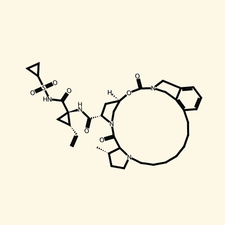 C=C[C@@H]1C[C@]1(NC(=O)[C@@H]1C[C@@H]2CN1C(=O)C1[C@@H](C)CCN1CCCCCCCc1cccc3c1CN(C3)C(=O)O2)C(=O)NS(=O)(=O)C1CC1